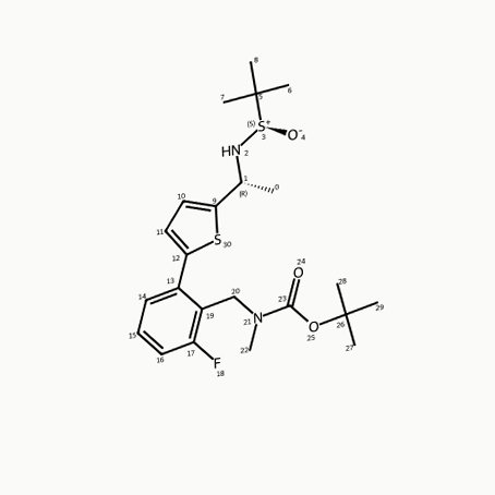 C[C@@H](N[S@+]([O-])C(C)(C)C)c1ccc(-c2cccc(F)c2CN(C)C(=O)OC(C)(C)C)s1